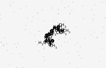 COC(=O)NC(C(=O)N1C[C@@H](C)CC1c1nc2ccc3cc4c(cc3c2[nH]1)OCc1cc(-c2cnc([C@@H]3C[C@H](C)CN3C(=O)[C@@H](NC(=O)OC)C(C)C)[nH]2)ccc1-4)c1ccccc1